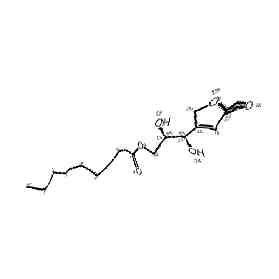 CCCCCCCC(=O)OC[C@@H](O)[C@H](O)C1=CC(=O)OC1